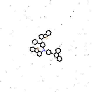 c1ccc(-c2cc(N(c3ccc(-c4cc5ccccc5c5ccccc45)cc3)c3cccc4c3sc3ccccc34)ccc2-c2cccc3c2sc2ccccc23)cc1